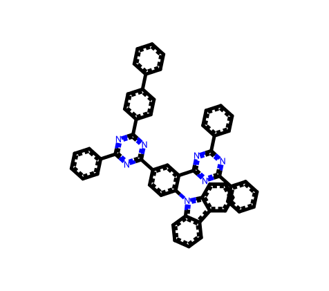 c1ccc(-c2ccc(-c3nc(-c4ccccc4)nc(-c4ccc(-n5c6ccccc6c6ccccc65)c(-c5nc(-c6ccccc6)nc(-c6ccccc6)n5)c4)n3)cc2)cc1